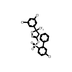 O=S(=O)(OC1=NOC(c2cc(Cl)cc(Cl)c2)(C(F)(F)F)C1)c1ccc(Cl)cc1-c1ccccc1